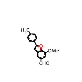 COc1cc(C=O)cc2cc(-c3ccc(C)cc3)oc12